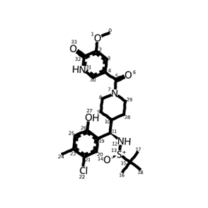 COc1cc(C(=O)N2CCC([C@@H](N[S@@+]([O-])C(C)(C)C)c3cc(Cl)c(C)cc3O)CC2)c[nH]c1=O